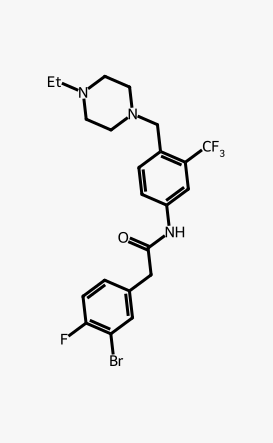 CCN1CCN(Cc2ccc(NC(=O)Cc3ccc(F)c(Br)c3)cc2C(F)(F)F)CC1